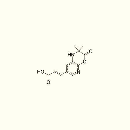 CC1(C)Nc2cc(C=CC(=O)O)cnc2OC1=O